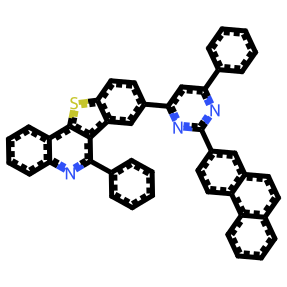 c1ccc(-c2cc(-c3ccc4sc5c6ccccc6nc(-c6ccccc6)c5c4c3)nc(-c3ccc4c(ccc5ccccc54)c3)n2)cc1